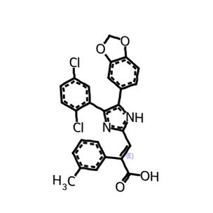 Cc1cccc(/C(=C\c2nc(-c3cc(Cl)ccc3Cl)c(-c3ccc4c(c3)OCO4)[nH]2)C(=O)O)c1